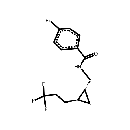 O=C(NC[C@@H]1C[C@H]1CCC(F)(F)F)c1ccc(Br)cc1